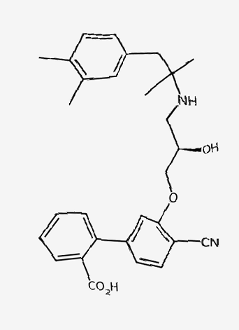 Cc1ccc(CC(C)(C)NC[C@@H](O)COc2cc(-c3ccccc3C(=O)O)ccc2C#N)cc1C